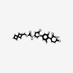 O=C1CCC(c2c(F)cc(N3C[C@H](NC(=O)OCC4CC5(CCC5)C4)CC3=O)cc2F)C(=O)N1